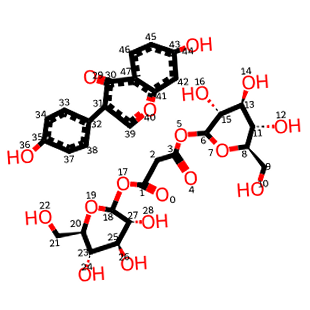 O=C(CC(=O)OC1O[C@H](CO)[C@@H](O)[C@H](O)[C@H]1O)OC1O[C@H](CO)[C@@H](O)[C@H](O)[C@H]1O.O=c1c(-c2ccc(O)cc2)coc2cc(O)ccc12